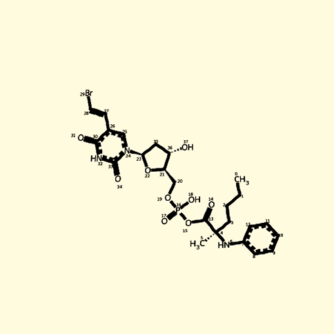 CCCC[C@@](C)(Nc1ccccc1)C(=O)OP(=O)(O)OC[C@H]1O[C@@H](n2cc(/C=C/Br)c(=O)[nH]c2=O)C[C@@H]1O